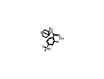 CS(=O)(=O)c1ccc(/C(=N\O)N[C@H]2CN3CCC2CC3)c(F)c1